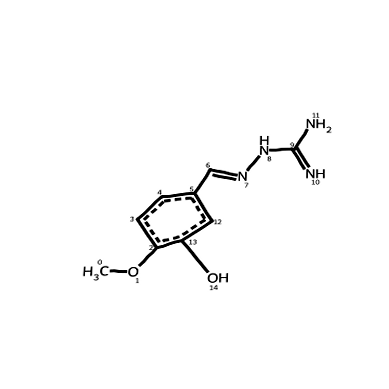 COc1ccc(C=NNC(=N)N)cc1O